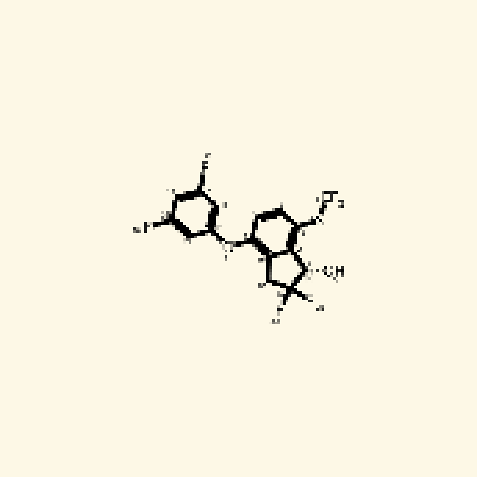 O[C@H]1c2c(SC(F)(F)F)ccc(Oc3cc(F)cc(F)c3)c2CC1(F)F